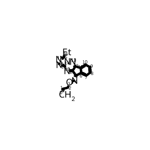 C=CCON=C1c2ccccc2-c2nn3c(CC)nnc3nc21